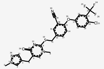 Cn1cc(Cc2cn(C)c(SCc3ccc(Oc4ccc(Cl)c(C(F)(F)F)c4)c(C#N)c3)nc2=O)cn1